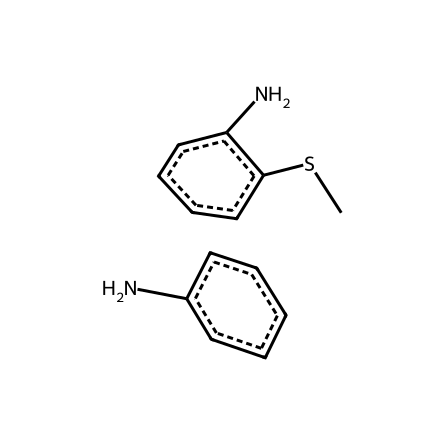 CSc1ccccc1N.Nc1ccccc1